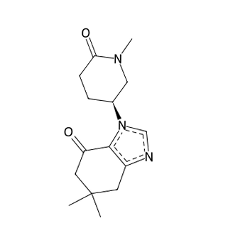 CN1C[C@@H](n2cnc3c2C(=O)CC(C)(C)C3)CCC1=O